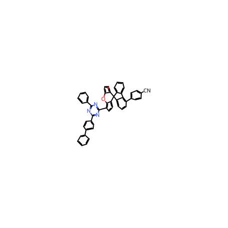 N#Cc1ccc(-c2cccc3c2-c2ccccc2C32c3ccccc3Oc3c(-c4nc(-c5ccccc5)nc(-c5ccc(-c6ccccc6)cc5)n4)cccc32)cc1